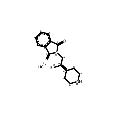 Cl.O=C1c2ccccc2C(=O)N1CC(Br)=C1CCNCC1